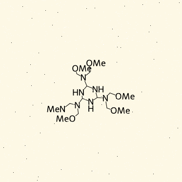 CNCN(COC)C1NC(N(COC)COC)NC(N(COC)COC)N1